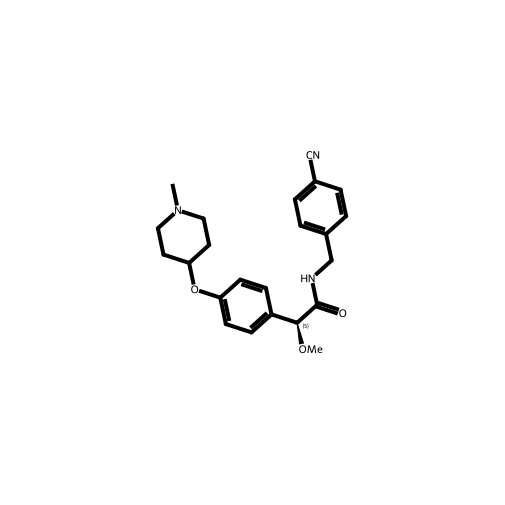 CO[C@H](C(=O)NCc1ccc(C#N)cc1)c1ccc(OC2CCN(C)CC2)cc1